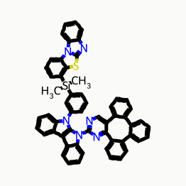 C[Si](C)(c1cccc(-n2c3ccccc3c3c4ccccc4n(-c4ncc5c(n4)-c4ccccc4-c4ccccc4-c4ccccc4-5)c32)c1)c1cccc2c1sc1nc3ccccc3n12